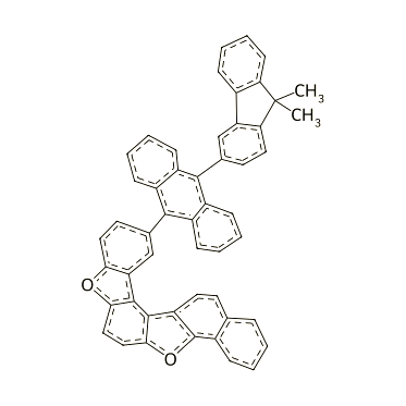 CC1(C)c2ccccc2-c2cc(-c3c4ccccc4c(-c4ccc5oc6ccc7oc8c9ccccc9ccc8c7c6c5c4)c4ccccc34)ccc21